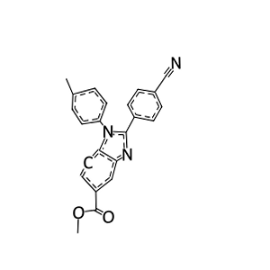 COC(=O)c1ccc2c(c1)nc(-c1ccc(C#N)cc1)n2-c1ccc(C)cc1